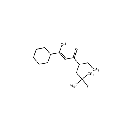 CCC(CC(C)(C)F)C(=O)/C=C(\O)C1CCCCC1